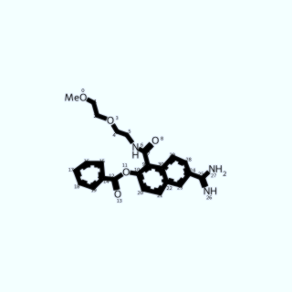 COCCOCCNC(=O)c1c(OC(=O)c2ccccc2)ccc2cc(C(=N)N)ccc12